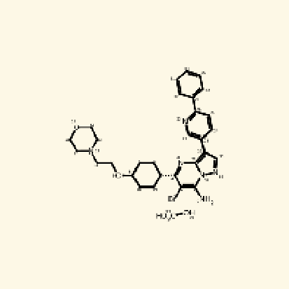 Nc1c(Br)c([C@H]2CC[C@H](OCCN3CCOCC3)CC2)nc2c(-c3ccc(-c4ccccc4)nc3)cnn12.O=C(O)O